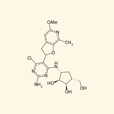 COc1cc2c(c(C)n1)OC(c1c(Cl)nc(N)nc1N[C@@H]1C[C@H](CO)[C@@H](O)[C@H]1O)C2